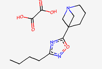 CCCCc1noc(C23CCCN(C2)C3)n1.O=C(O)C(=O)O